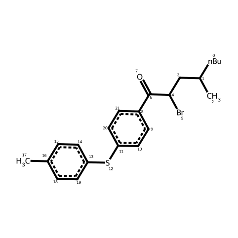 CCCCC(C)CC(Br)C(=O)c1ccc(Sc2ccc(C)cc2)cc1